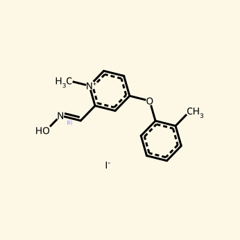 Cc1ccccc1Oc1cc[n+](C)c(/C=N/O)c1.[I-]